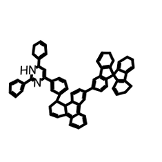 C1=CCCC(C2C=C(c3cccc(C4CC=CC5=c6ccccc6=C6C=C(c7ccc8c(c7)C7=C(CCC=C7)C87C8=CCCC=C8C8=C7C=CCC8)C=CC6C54)c3)N=C(c3ccccc3)N2)=C1